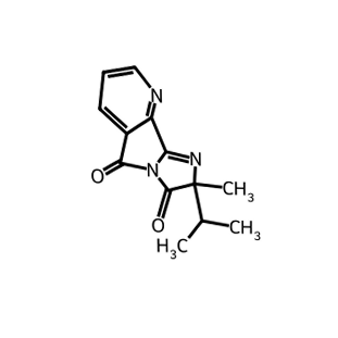 CC(C)C1(C)N=C2c3ncccc3C(=O)N2C1=O